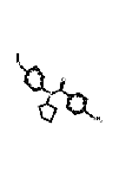 COc1ccc(N(C(=O)c2ccc(N)cc2)C2CCCC2)cc1